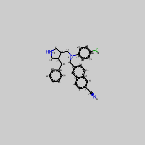 N#Cc1ccc2cc(CN(CC3CNCC3Cc3ccccc3)c3ccc(Cl)cc3)ccc2c1